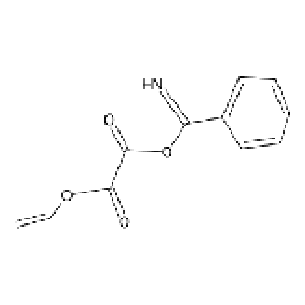 C=COC(=O)C(=O)OC(=N)c1ccccc1